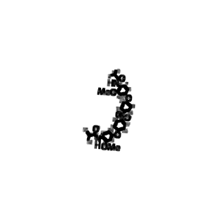 C=C(C)C(=O)Nc1ccc(Oc2ccc(S(=O)(=O)c3ccc(Oc4ccc(NC(=O)C(=C)C)c(OC)c4)cc3)cc2)cc1OC